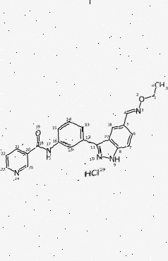 CCON=Cc1ccc2[nH]nc(-c3cccc(NC(=O)c4cccnc4)c3)c2c1.Cl